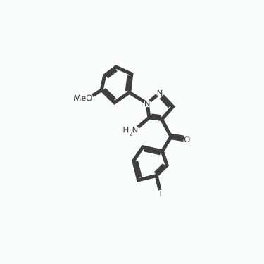 COc1cccc(-n2ncc(C(=O)c3cccc(I)c3)c2N)c1